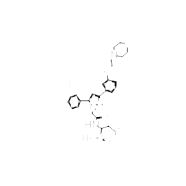 CC(C)CC(NC(=O)Cn1nc(-c2cccc(OCCN3CCOCC3)c2)cc1-c1ccccc1)B(O)O.Cl